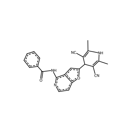 CC1=C(C#N)C(c2cc3c(NC(=O)c4ccccc4)nccc3o2)C(C#N)=C(C)N1